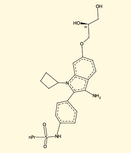 CCCS(=O)(=O)Nc1ccc(-c2c(N)c3ccc(OC[C@@H](O)CO)cc3n2C2CCC2)cc1